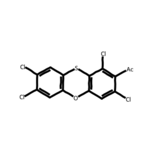 CC(=O)c1c(Cl)cc2c(c1Cl)Sc1cc(Cl)c(Cl)cc1O2